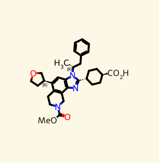 COC(=O)N1CCc2c([C@H]3CCOC3)cc3c(nc([C@H]4CC[C@H](C(=O)O)CC4)n3[C@H](C)Cc3ccccc3)c2C1